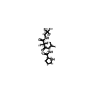 CC(C)[C@H](NC(=O)C1CCCN1)C(=O)C(F)(F)C(=O)NCC(F)(F)F